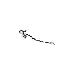 CCCCCCCCCCCCCCCCCC(CC(C)c1ccccc1CCl)[SiH](F)F